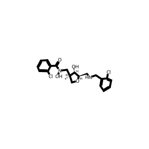 C[C@@]1(CN(O)C(=O)c2ccccc2Cl)CO[C@H](CNCc2ccccc2Cl)[C@H]1O